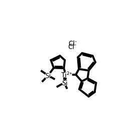 C[Si](C)=[Ti+2]([C]1=C([Si](C)(C)C)C=CC1)[CH]1c2ccccc2-c2ccccc21.[Cl-].[Cl-]